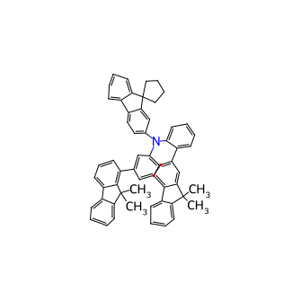 CC1(C)c2ccccc2-c2ccc(-c3ccccc3N(c3cccc(-c4cccc5c4C(C)(C)c4ccccc4-5)c3)c3ccc4c(c3)C3(CCCC3)c3ccccc3-4)cc21